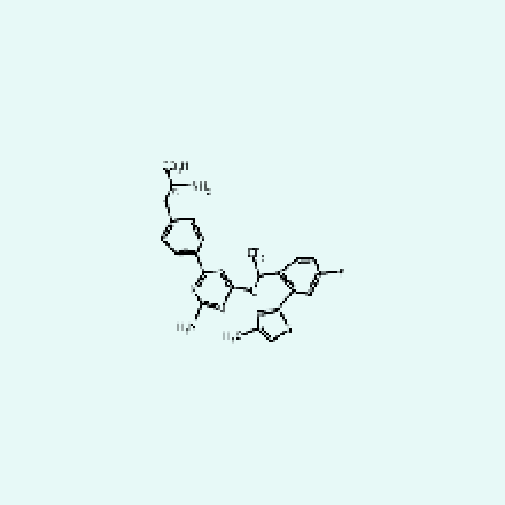 Cc1csc(-c2cc(F)ccc2C(Oc2cc(-c3ccc(C[C@H](N)C(=O)O)cc3)nc(N)n2)C(F)(F)F)c1